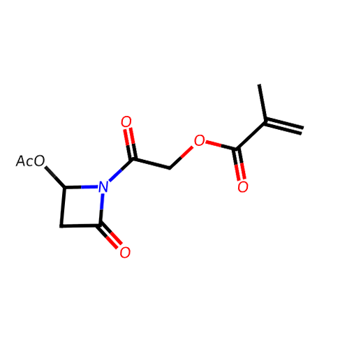 C=C(C)C(=O)OCC(=O)N1C(=O)CC1OC(C)=O